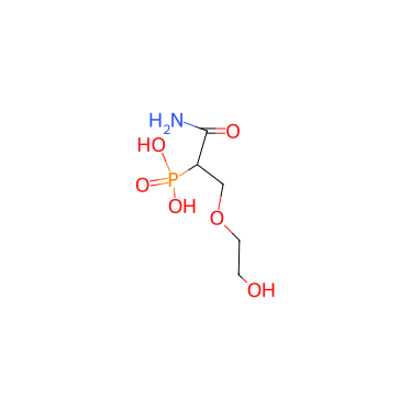 NC(=O)C(COCCO)P(=O)(O)O